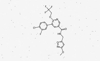 COc1cc(CNC(=O)c2cnc(OCC(F)(F)F)c(-c3ccc(Cl)c(F)c3)c2)on1